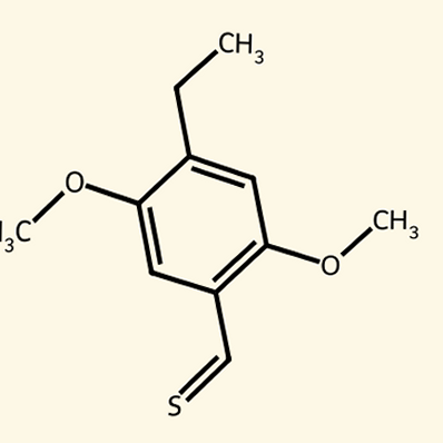 CCc1cc(OC)c(C=S)cc1OC